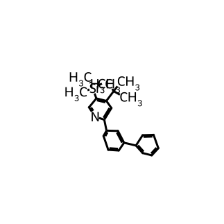 CC(C)(C)c1cc(-c2cccc(-c3ccccc3)c2)ncc1[Si](C)(C)C